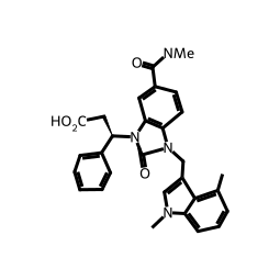 CNC(=O)c1ccc2c(c1)n([C@H](CC(=O)O)c1ccccc1)c(=O)n2Cc1cn(C)c2cccc(C)c12